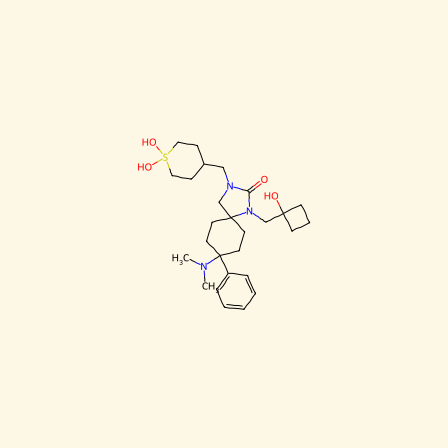 CN(C)C1(c2ccccc2)CCC2(CC1)CN(CC1CCS(O)(O)CC1)C(=O)N2CC1(O)CCC1